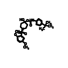 COc1ccc(OC)c(S(=O)(=O)N2CCC(O)(OC(=O)Nc3ccc(C(C)(C)C)cc3)CC2)c1